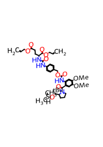 C=CCOC(=O)CCC(NC(=O)Nc1ccc(COC(=O)Nc2cc(OC)c(OC)cc2C(=O)N2CCCC2C(O[SiH](C)C)C(C)(C)C)cc1)C(=O)OCC=C